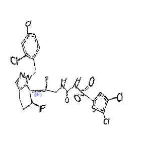 O=C(NC/C(F)=C1/c2c(cnn2Cc2ccc(Cl)cc2Cl)CCC1F)NS(=O)(=O)c1cc(Cl)c(Cl)s1